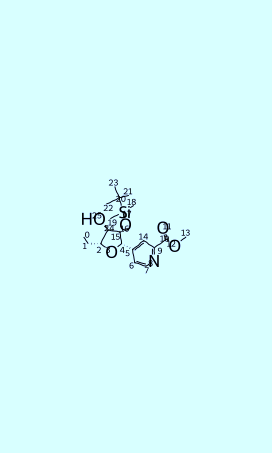 CC[C@H]1O[C@@H](c2ccnc(C(=O)OC)c2)[C@H](O[Si](C)(C)C(C)(C)C)[C@@H]1O